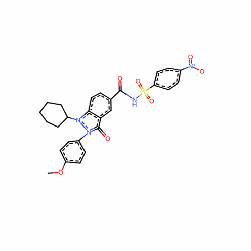 COc1ccc(-n2c(=O)c3cc(C(=O)NS(=O)(=O)c4ccc([N+](=O)[O-])cc4)ccc3n2C2CCCCC2)cc1